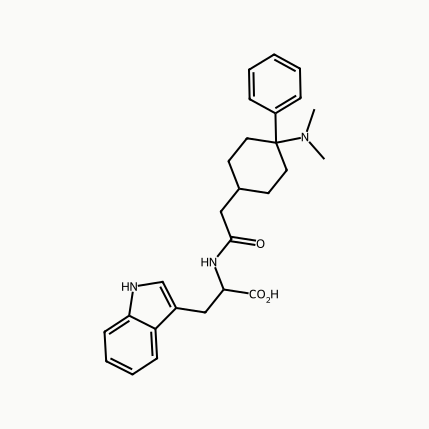 CN(C)C1(c2ccccc2)CCC(CC(=O)NC(Cc2c[nH]c3ccccc23)C(=O)O)CC1